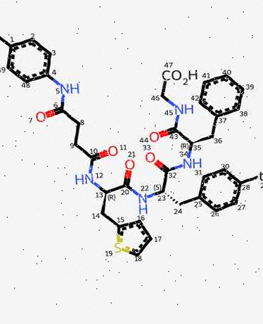 Cc1ccc(NC(=O)CCC(=O)N[C@H](Cc2cccs2)C(=O)N[C@@H](Cc2ccc(C(C)(C)C)cc2)C(=O)N[C@H](Cc2ccccc2)C(=O)NCC(=O)O)cc1